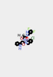 CC(C(=O)NCc1cc(F)cc(F)c1)C(=O)NC(Cc1c[nH]c2ccccc12)C(=O)N1CCc2ccc(Cl)cc2C1